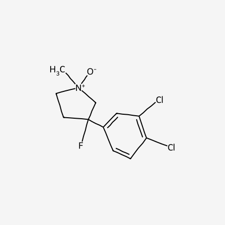 C[N+]1([O-])CCC(F)(c2ccc(Cl)c(Cl)c2)C1